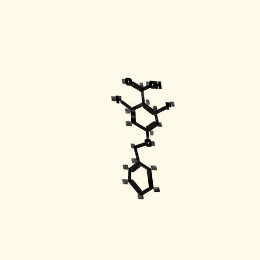 O=C(O)c1c(F)cc(OCc2ccccc2)cc1F